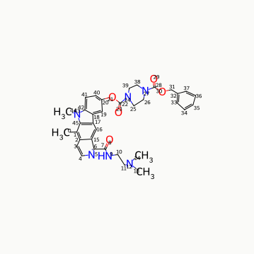 Cc1c2ccnc(C(=O)NCCN(C)C)c2cc2c3cc(OC(=O)N4CCN(C(=O)OCc5ccccc5)CC4)ccc3n(C)c12